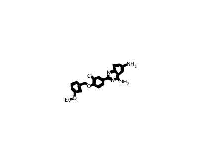 CCOc1cccc(COc2ccc(-c3nc(N)c4cc(N)ccc4n3)cc2Cl)c1